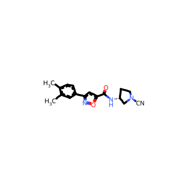 Cc1ccc(-c2cc(C(=O)N[C@@H]3CCN(C#N)C3)on2)cc1C